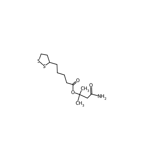 CC(C)(CC(N)=O)OC(=O)CCCCC1CCSS1